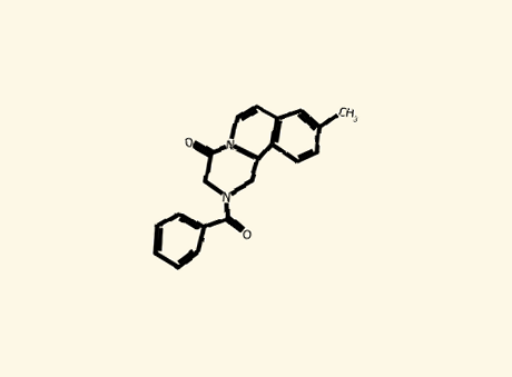 Cc1ccc2c(c1)C=CN1C(=O)CN(C(=O)c3ccccc3)CC21